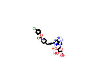 Nc1nc(C#CCC2CCN(C(=O)Oc3ccc(Cl)cc3)CC2)nc2c1ncn2[C@@H]1O[C@H](CO)[C@@H](O)[C@H]1O